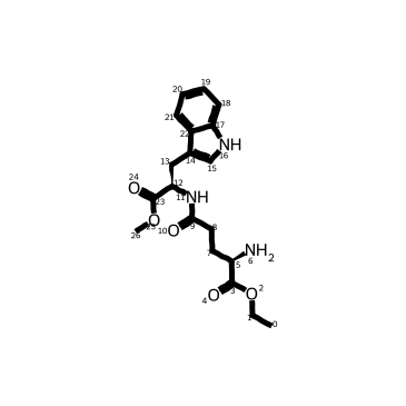 CCOC(=O)[C@H](N)CCC(=O)N[C@H](Cc1c[nH]c2ccccc12)C(=O)OC